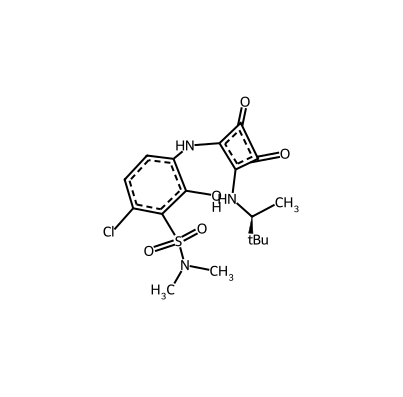 C[C@H](Nc1c(Nc2ccc(Cl)c(S(=O)(=O)N(C)C)c2O)c(=O)c1=O)C(C)(C)C